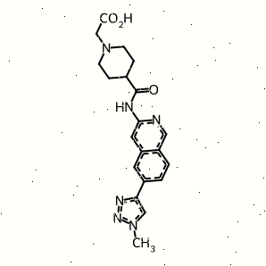 Cn1cc(-c2ccc3cnc(NC(=O)C4CCN(CC(=O)O)CC4)cc3c2)nn1